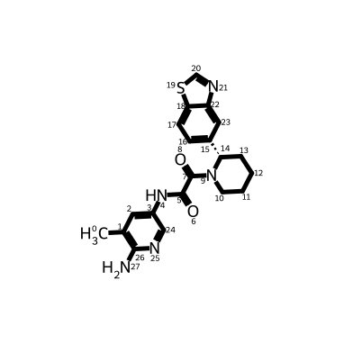 Cc1cc(NC(=O)C(=O)N2CCCC[C@H]2c2ccc3scnc3c2)cnc1N